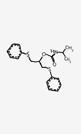 CC(C)NC(=O)OC(CSc1ccccc1)CSc1ccccc1